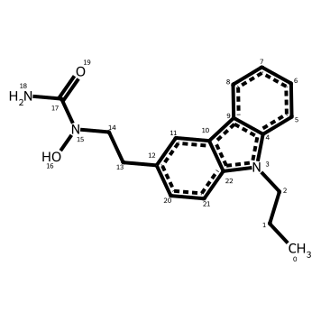 CCCn1c2ccccc2c2cc(CCN(O)C(N)=O)ccc21